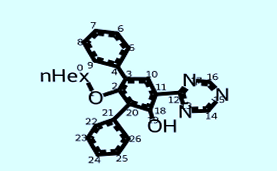 CCCCCCOc1c(-c2ccccc2)cc(-c2ncncn2)c(O)c1-c1ccccc1